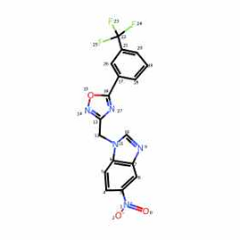 O=[N+]([O-])c1ccc2c(c1)ncn2Cc1noc(-c2cccc(C(F)(F)F)c2)n1